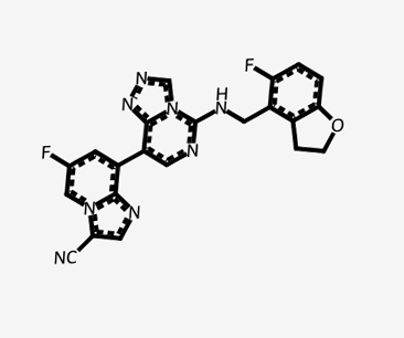 N#Cc1cnc2c(-c3cnc(NCc4c(F)ccc5c4CCO5)n4cnnc34)cc(F)cn12